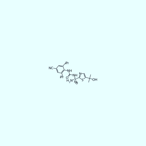 CC(C)c1cc(C#N)cc(C(C)C)c1NC(=O)N[SH](N)(=O)c1ncc(C(C)(C)O)s1